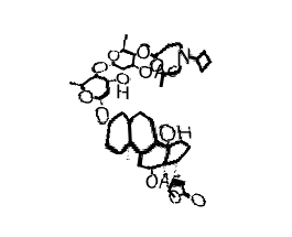 CC(=O)O[C@H]1C[C@H](O[C@@H]2[C@H](C)O[C@@H](O[C@H]3CC[C@@]4(C)C(CCC5C4C[C@H](OC(C)=O)[C@]4(C)[C@@H](C6=CC(=O)OC6)CC[C@]54O)C3)C[C@@H]2O)O[C@@H](C)[C@H]1OC1CCN(C2CCC2)CC(C)O1